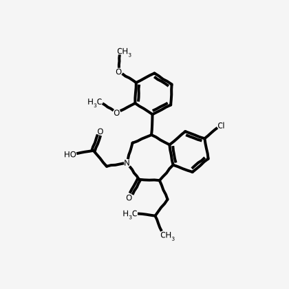 COc1cccc(C2CN(CC(=O)O)C(=O)C(CC(C)C)c3ccc(Cl)cc32)c1OC